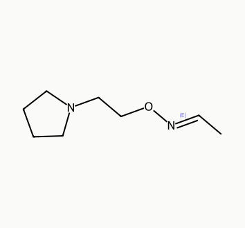 C/C=N/OCCN1CCCC1